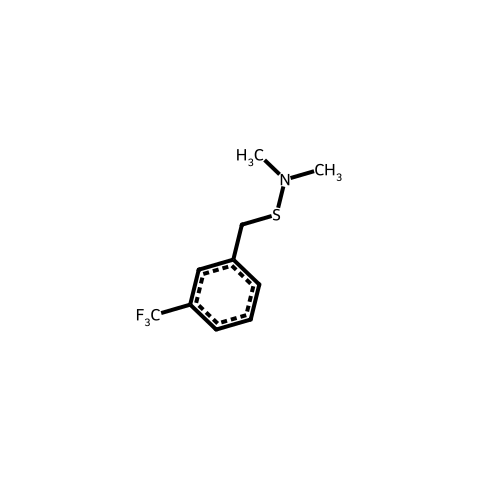 CN(C)SCc1cccc(C(F)(F)F)c1